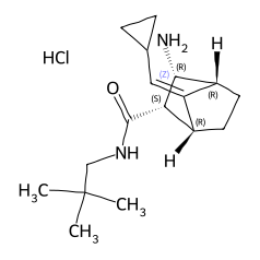 CC(C)(C)CNC(=O)[C@@H]1[C@H](N)[C@@H]2CC[C@H]1/C2=C/C1CC1.Cl